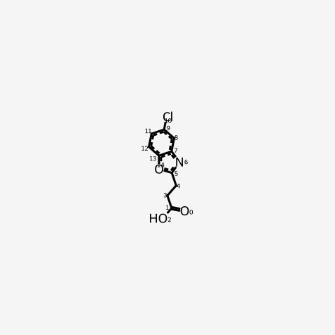 O=C(O)CCc1nc2cc(Cl)ccc2o1